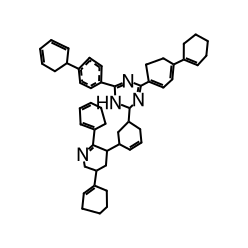 C1=CCCC(C2=NCC(C3=CCCCC3)CC2C2C=CCC(C3N=C(C4=CC=C(C5=CCCCC5)CC4)N=C(c4ccc(C5C=CC=CC5)cc4)N3)C2)=C1